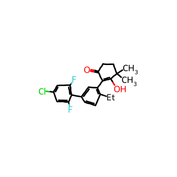 CCc1ccc(-c2c(F)cc(Cl)cc2F)cc1C1=C(O)C(C)(C)CCC1=O